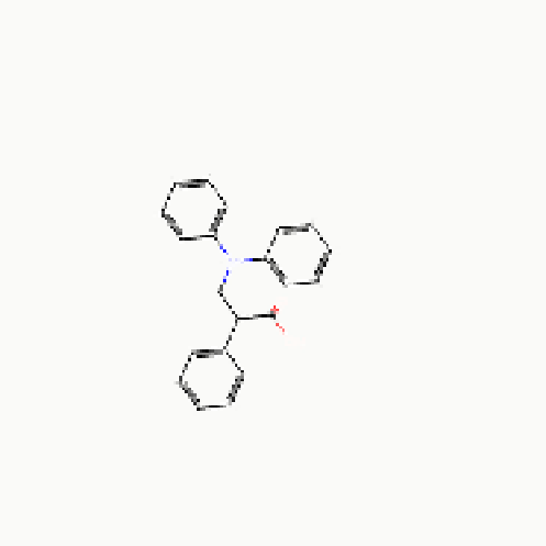 O=C(O)C(CN(c1ccccc1)c1ccccc1)c1ccccc1